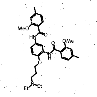 CCN(CC)CCCOc1ccc(NC(=O)c2ccc(C)cc2OC)cc1NC(=O)c1ccc(C)cc1OC